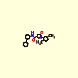 Cc1ccc(C)c(N2CC(C(=O)Nc3cccc(-c4ccccc4)c3)CC2=O)c1